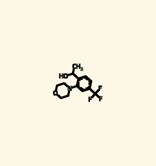 CC(O)c1ccc(C(F)(F)F)cc1N1CCOCC1